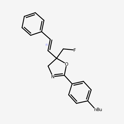 CCCCc1ccc(C2=NCC(/C=C/c3ccccc3)(CF)O2)cc1